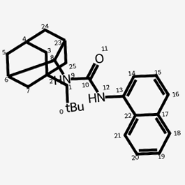 CC(C)(C)CC12CC3CC(C1)C(NC(=O)Nc1cccc4ccccc14)C(C3)C2